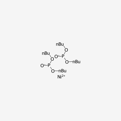 CCCCOP([O-])OCCCC.CCCCOP([O-])OCCCC.[Ni+2]